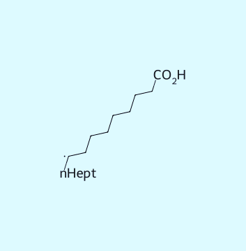 CCCCCCC[CH]CCCCCCCC(=O)O